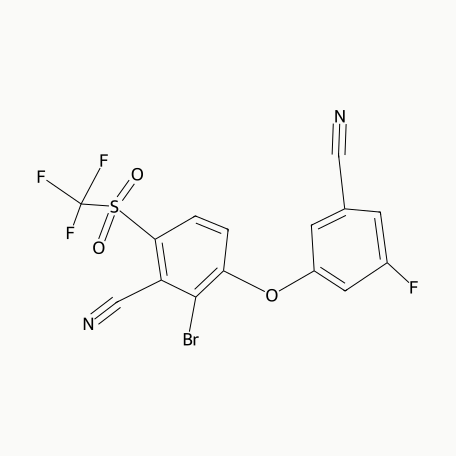 N#Cc1cc(F)cc(Oc2ccc(S(=O)(=O)C(F)(F)F)c(C#N)c2Br)c1